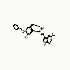 COc1cnc2c(c1)c(/C=C/[C@H]1NCCc3cc(OCc4ccccc4)c(OC)cc31)cn2C